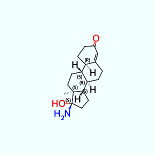 C[C@]12CC[C@H]3[C@@H](CCC4=CC(=O)CC[C@@H]43)[C@@H]1CC[C@]2(N)O